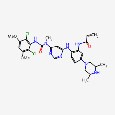 C=CC(=O)Nc1cc(N2CC(C)NC(C)C2)ccc1Nc1cc(N(C)C(=O)Nc2c(Cl)c(OC)cc(OC)c2Cl)ncn1